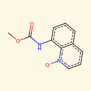 COC(=O)Nc1cccc2ccc[n+]([O-])c12